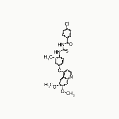 COc1cc2nccc(Oc3ccc(NC(=S)NC(=O)c4ccc(Cl)cc4)c(C)c3)c2cc1OC